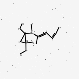 C/C=C\C=C(/C)N(C)C1(CC)CC1(C)CC